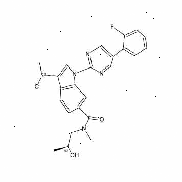 C[C@H](O)CN(C)C(=O)c1ccc2c([S+](C)[O-])cn(-c3ncc(-c4ccccc4F)cn3)c2c1